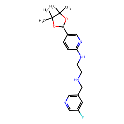 CC1(C)OB(c2ccc(NCCNCc3cncc(F)c3)nc2)OC1(C)C